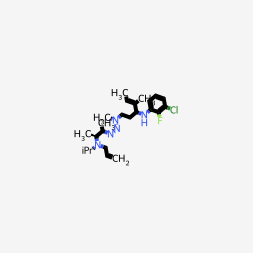 C=CCN(C(C)C)[C@@H](C)C(C)/N=N\N(C)CCC(Nc1cccc(Cl)c1F)/C(C)=C/C